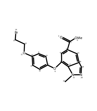 COC(=O)c1cc(Oc2ccc(OCCBr)cc2)c2c(cnn2C)c1